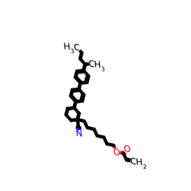 C=CC(=O)OCCCCCCCC1(C#N)CCCC(c2ccc(-c3ccc(C(C)CCC)cc3)cc2)C1